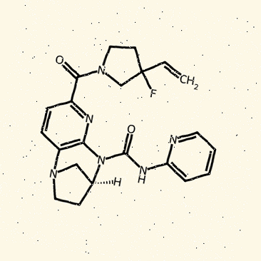 C=CC1(F)CCN(C(=O)c2ccc3c(n2)N(C(=O)Nc2ccccn2)[C@H]2CCN3C2)C1